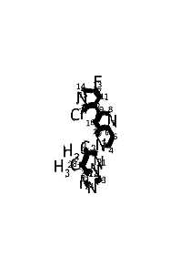 Cc1c(N2CCc3ncc(-c4cc(F)cnc4Cl)cc3C2)nn2cnnc2c1C